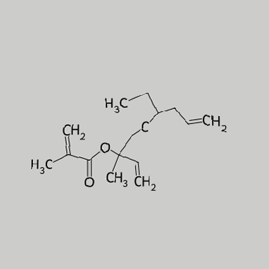 C=CCC(CC)CCC(C)(C=C)OC(=O)C(=C)C